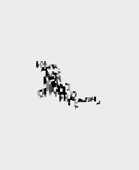 C[C@@H](NC(=O)c1ccc(Nc2nccn3c(-c4c[nH]nc4C(F)(F)F)cnc23)cc1Cl)C(=O)NCCN.O=CO